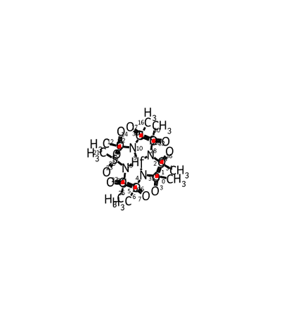 CS(=O)(=O)[N](S(C)(=O)=O)[Hf]([N](S(C)(=O)=O)S(C)(=O)=O)([N](S(C)(=O)=O)S(C)(=O)=O)[N](S(C)(=O)=O)S(C)(=O)=O